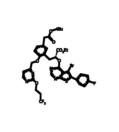 CCOC(=O)[C@@H](Cc1cc(CC(=O)OC(C)(C)C)ccc1OCc1ccnc(OCCC(F)(F)F)n1)Oc1ncnc2sc(-c3ccc(F)cc3)c(Br)c12